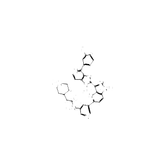 O=C(CC1CCNCC1)Nc1cncc(-c2ccc3[nH]nc(-c4nc5c(-c6cccc(F)c6)nccc5[nH]4)c3n2)c1